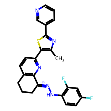 Cc1nc(-c2cccnc2)sc1-c1ccc2c(n1)/C(=N/Nc1ccc(F)cc1F)CCC2